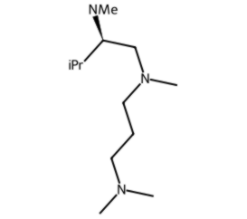 CN[C@@H](CN(C)CCCN(C)C)C(C)C